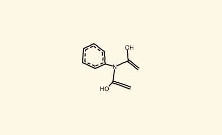 C=C(O)N(C(=C)O)c1ccccc1